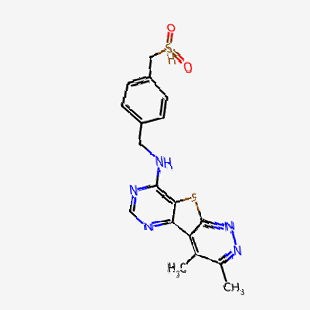 Cc1nnc2sc3c(NCc4ccc(C[SH](=O)=O)cc4)ncnc3c2c1C